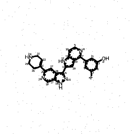 Oc1cc(F)cc(-c2nccc3[nH]c(-c4n[nH]c5cnc(C6=CCNCC6)cc45)cc23)c1